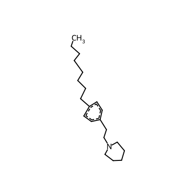 CCCCCCCCc1ccc(CCN2CCCCC2)cc1